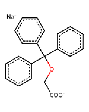 O=C([O-])COC(c1ccccc1)(c1ccccc1)c1ccccc1.[Na+]